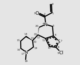 C=CC(=O)N1Cc2sc(Cl)cc2[C@H]([C@@H]2CCCN(C)C2)C1